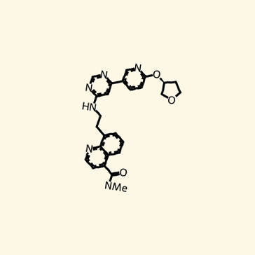 CNC(=O)c1ccnc2c(CCNc3cc(-c4ccc(O[C@H]5CCOC5)nc4)ncn3)cccc12